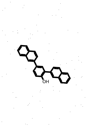 Oc1ccc(-c2ccc3ccccc3c2)cc1-c1ccc2ccccc2c1